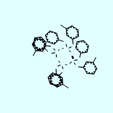 Cc1cccc(OP2(Oc3ccccc3)=N[PH](Oc3ccccc3)(Oc3cccc(C)c3)N[PH](Oc3ccccc3)(Oc3cccc(C)c3)N[PH](Oc3ccccc3)(Oc3cccc(C)c3)N2)c1